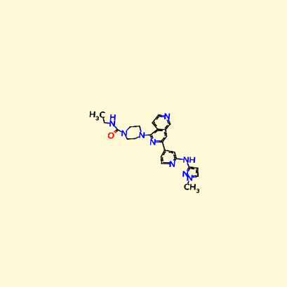 CCNC(=O)N1CCN(c2nc(-c3ccnc(Nc4ccn(C)n4)c3)cc3cnccc23)CC1